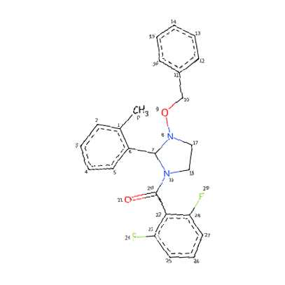 Cc1ccccc1C1N(OCc2ccccc2)CCN1C(=O)c1c(F)cccc1F